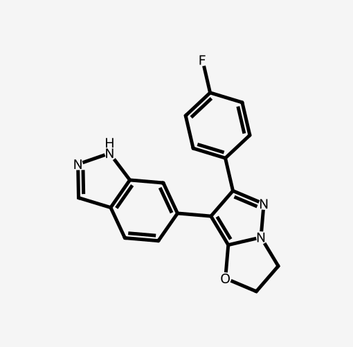 Fc1ccc(-c2nn3c(c2-c2ccc4cn[nH]c4c2)OCC3)cc1